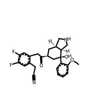 COc1ccccc1[C@]1(O)C[C@@H](C(=O)Cc2cc(F)c(F)cc2CC#N)C[C@H]2CNC[C@H]21